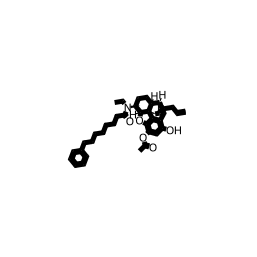 C=CCN1CC[C@]23c4c5c(O)cc(OC(C)=O)c4O[C@H]2[C@@H](N(CC)C(=O)CCCCCCCc2ccccc2)CC[C@H]3[C@H]1C5